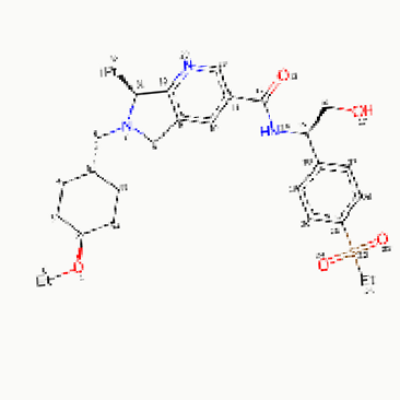 CCO[C@H]1CC[C@H](CN2Cc3cc(C(=O)N[C@@H](CO)c4ccc(S(=O)(=O)CC)cc4)cnc3[C@@H]2C(C)C)CC1